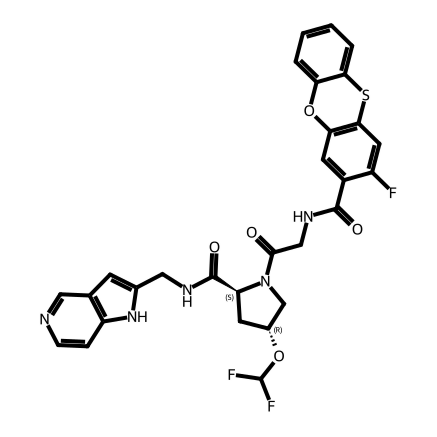 O=C(NCC(=O)N1C[C@H](OC(F)F)C[C@H]1C(=O)NCc1cc2cnccc2[nH]1)c1cc2c(cc1F)Sc1ccccc1O2